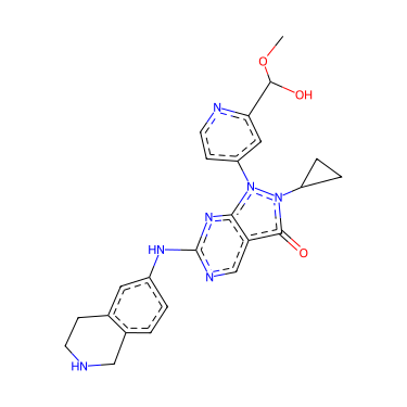 COC(O)c1cc(-n2c3nc(Nc4ccc5c(c4)CCNC5)ncc3c(=O)n2C2CC2)ccn1